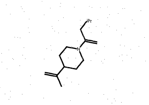 C=C(C)C1CCN(C(=C)CC(C)C)CC1